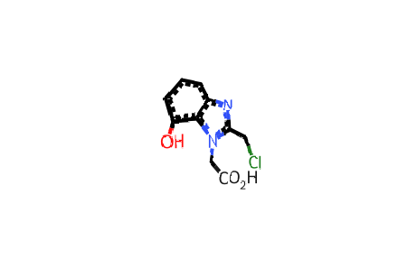 O=C(O)Cn1c(CCl)nc2cccc(O)c21